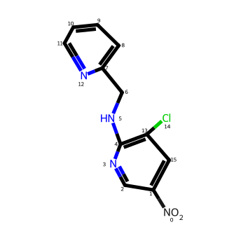 O=[N+]([O-])c1cnc(NCc2ccccn2)c(Cl)c1